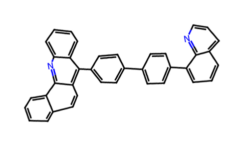 c1cnc2c(-c3ccc(-c4ccc(-c5c6ccccc6nc6c5ccc5ccccc56)cc4)cc3)cccc2c1